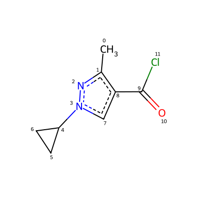 Cc1nn(C2CC2)cc1C(=O)Cl